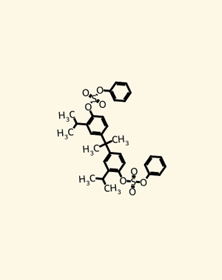 CC(C)c1cc(C(C)(C)c2ccc(OS(=O)(=O)Oc3ccccc3)c(C(C)C)c2)ccc1OS(=O)(=O)Oc1ccccc1